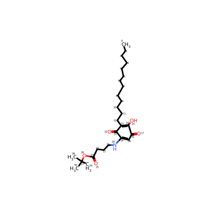 CCCCCCCCCCCCCC1=C(O)C(=O)C=C(NCCCC(=O)OC(C)(C)C)C1=O